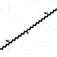 CCCCCCC(CCCCCCCCCCCCCOC(=O)CCCCCCCCCCC(CCCCCC)OC)OC